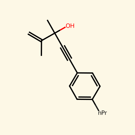 C=C(C)C(C)(O)C#Cc1ccc(CCC)cc1